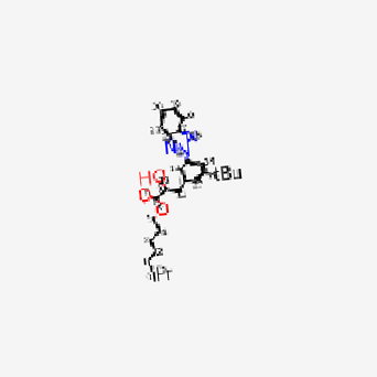 CC(C)CCCCCOC(=O)C(O)Cc1cc(-n2nc3ccccc3n2)cc(C(C)(C)C)c1